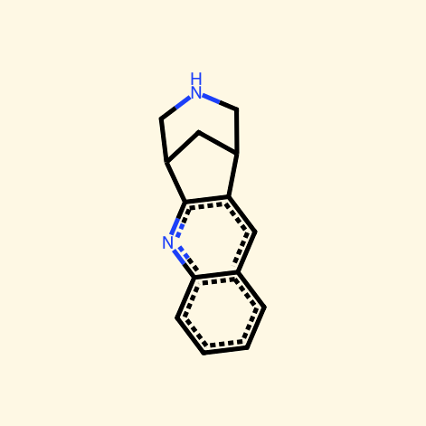 c1ccc2nc3c(cc2c1)C1CNCC3C1